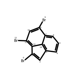 BrC1=Cc2cccc3c(Br)cc(Br)c1c23